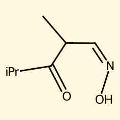 CC(C)C(=O)C(C)/C=N\O